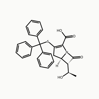 C[C@@H](O)[C@H]1C(=O)N2C(C(=O)O)=C(SC(c3ccccc3)(c3ccccc3)c3ccccc3)C[C@H]12